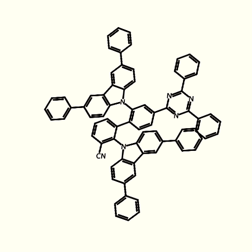 N#Cc1cccc(-c2ccc(-c3nc(-c4ccccc4)nc(-c4ccccc4)n3)cc2-n2c3ccc(-c4ccccc4)cc3c3cc(-c4ccccc4)ccc32)c1-n1c2ccc(-c3ccccc3)cc2c2cc(-c3ccccc3)ccc21